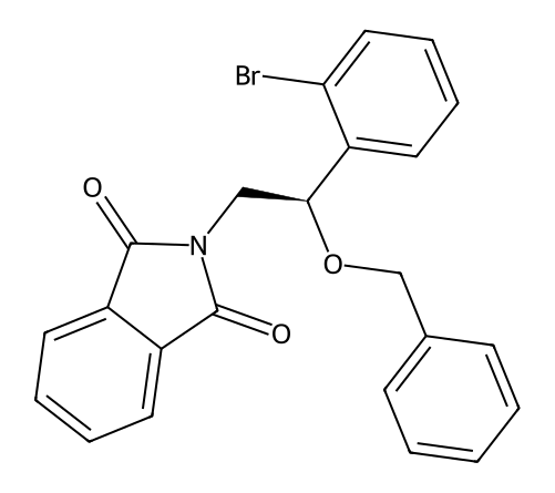 O=C1c2ccccc2C(=O)N1C[C@H](OCc1ccccc1)c1ccccc1Br